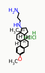 COc1ccc2c(c1)CC[C@@H]1[C@@H]2CC[C@]2(C)[C@@H](NCCCN)CC[C@@H]12.Cl.Cl